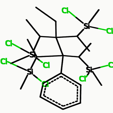 CCC(C(C)[Si](C)(Cl)Cl)(C(C)[Si](C)(Cl)Cl)C(c1ccccc1)(C(C)[Si](C)(Cl)Cl)C(C)[Si](C)(Cl)Cl